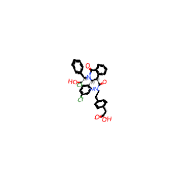 O=C(O)Cc1ccc(CCNC(=O)[C@@H]2c3ccccc3C(=O)N([C@H](CO)c3ccccc3)[C@H]2c2ccc(Cl)cc2Cl)cc1